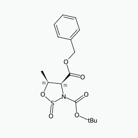 C[C@@H]1OS(=O)N(C(=O)OC(C)(C)C)[C@@H]1C(=O)OCc1ccccc1